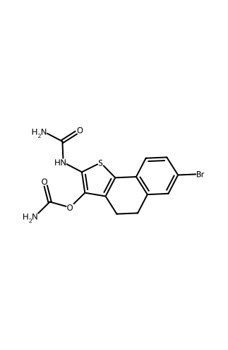 NC(=O)Nc1sc2c(c1OC(N)=O)CCc1cc(Br)ccc1-2